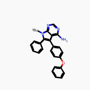 CC(C)(C)n1c(-c2ccccc2)c(-c2ccc(Oc3ccccc3)cc2)c2c(N)ncnc21